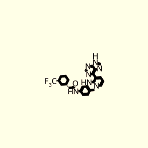 Cc1ccc(NC(=O)C[C@H]2CCC[C@H](C(F)(F)F)C2)cc1Nc1ncccc1-c1ncnc2[nH]cnc12